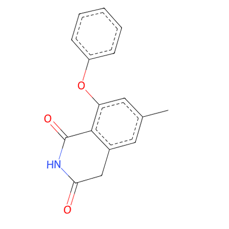 Cc1cc2c(c(Oc3ccccc3)c1)C(=O)NC(=O)C2